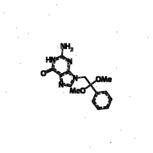 COC(Cn1cnc2c(=O)[nH]c(N)nc21)(OC)c1ccccc1